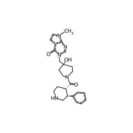 Cn1ccc2c(=O)n(CC3(O)CCN(C(=O)[C@H]4CCNC[C@@H]4c4ccccc4)CC3)cnc21